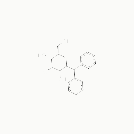 OC[C@H]1OC(C(c2ccccc2)c2ccccc2)[C@H](O)[C@@H](O)[C@@H]1O